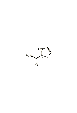 NC(=O)[C@@H]1CC=CN1